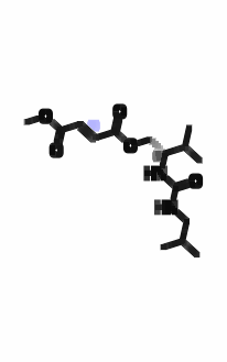 COC(=O)/C=C/C(=O)OC[C@@H](NC(=O)NCC(C)C)C(C)C